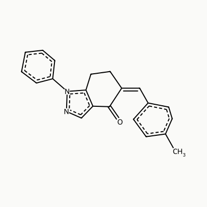 Cc1ccc(C=C2CCc3c(cnn3-c3ccccc3)C2=O)cc1